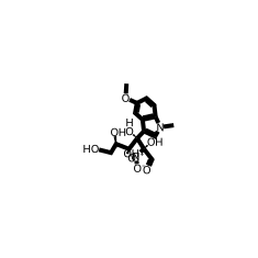 COc1ccc2c(c1)c([C@](O)([C@@H](O)[C@H](O)CO)[C@@](O)(C=O)[N+](=O)[O-])cn2C